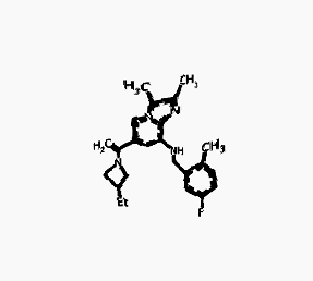 C=C(c1cc(NCc2cc(F)ccc2C)c2nc(C)c(C)n2c1)N1CC(CC)C1